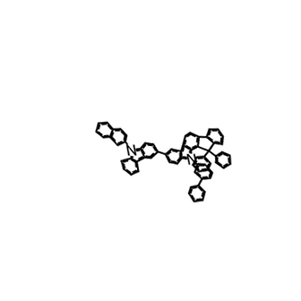 c1ccc(-c2cccc(-n3c4ccc(-c5ccc6c(c5)c5ccccc5n6-c5ccc6ccccc6c5)cc4c4ccc5c(c43)C(c3ccccc3)(c3ccccc3)c3ccccc3-5)c2)cc1